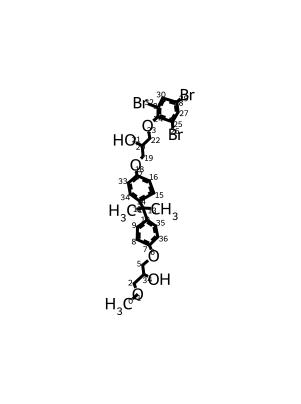 COCC(O)COc1ccc(C(C)(C)c2ccc(OCC(O)COc3c(Br)cc(Br)cc3Br)cc2)cc1